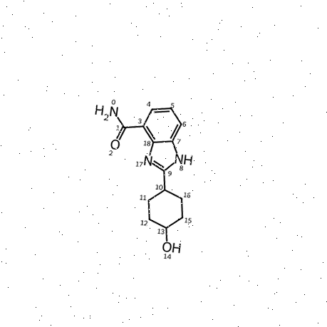 NC(=O)c1cccc2[nH]c(C3CCC(O)CC3)nc12